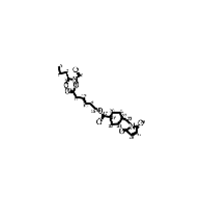 CCCC(=O)N(C=O)OC(=O)CCCCCOC(=O)C1CCC(CN2C(=O)C=CC2=O)CC1